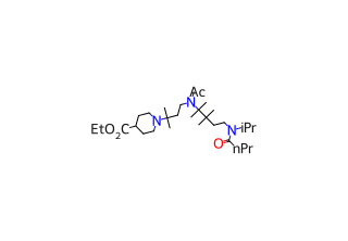 CCCC(=O)N(CCC(C)(C)C(C)(C)N(CCC(C)(C)N1CCC(C(=O)OCC)CC1)C(C)=O)C(C)C